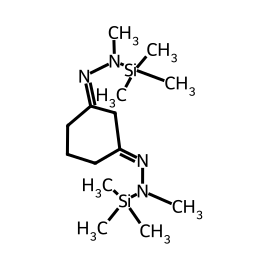 CN(N=C1CCCC(=NN(C)[Si](C)(C)C)C1)[Si](C)(C)C